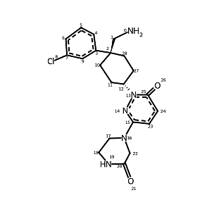 NC[C@]1(c2cccc(Cl)c2)CC[C@@H](n2nc(N3CCNC(=O)C3)ccc2=O)CC1